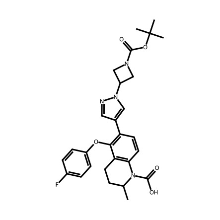 CC1CCc2c(ccc(-c3cnn(C4CN(C(=O)OC(C)(C)C)C4)c3)c2Oc2ccc(F)cc2)N1C(=O)O